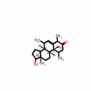 CC1C(=O)CC(C)[C@@]2(CO)C1=CC(C)[C@@H]1[C@H]2CC[C@]2(C)C(O)CC[C@@H]12